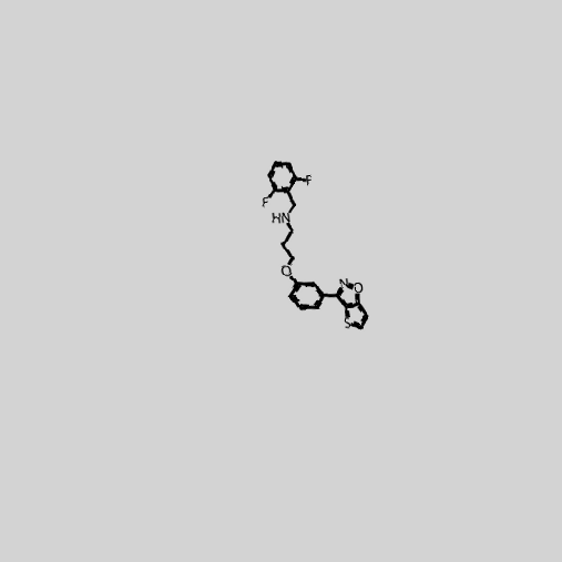 Fc1cccc(F)c1CNCCCOc1cccc(-c2noc3ccsc23)c1